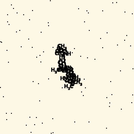 COc1cc2c(cc1OC)C(CCCCC(CCCCC(CCCCC1NCCc3cc(OC)c(OC)cc31)C1NCCc3cc(OC)c(OC)cc31)C1NCCc3cc(OC)c(OC)cc31)NCC2